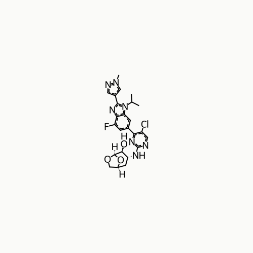 CC(C)n1c(-c2cnn(C)c2)nc2c(F)cc(-c3nc(N[C@@H]4C[C@H]5CO[C@H](O5)[C@H]4O)ncc3Cl)cc21